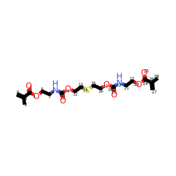 C=C(C)C(=O)OCCNC(=O)OCCSCCOC(=O)NCCOC(=O)C(=C)C